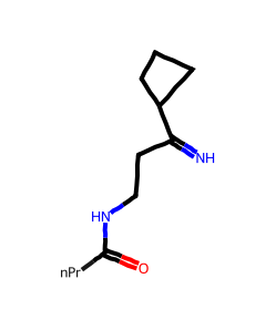 CCCC(=O)NCCC(=N)C1CCC1